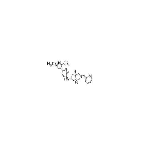 Cc1nn(C)cc1-c1ccc(N[C@@H]2C[C@@H]3CN(Cc4ccccn4)C[C@@H]3C2)nn1